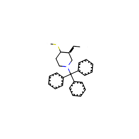 CCOC(=O)/C=C1\CN(C(c2ccccc2)(c2ccccc2)c2ccccc2)CCC1SC(C)=O